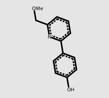 COCc1cccc(-c2ccc(O)cc2)n1